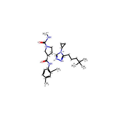 CNC(=O)N1C[C@H](C(=O)Nc2ccc(C)cc2C)[C@@H](c2nnc(CCCC(C)(C)C)n2C2CC2)C1